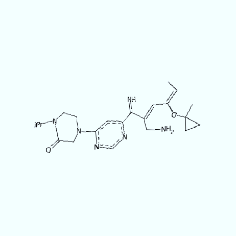 C/C=C(\C=C(/CN)C(=N)c1cc(N2CCN(C(C)C)C(=O)C2)ncn1)OC1(C)CC1